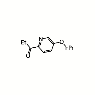 CCCOc1ccc(C(=O)CC)nc1